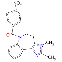 Cc1nc2c(n1C)CCN(C(=O)c1ccc([N+](=O)[O-])cc1)c1ccccc1-2